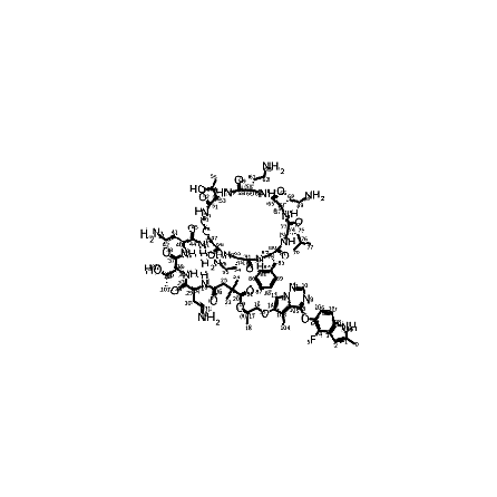 Cc1cc2c(F)c(Oc3ncnn4cc(OC[C@@H](C)OC(=O)C(C)(C)CC(=O)N[C@@H](CCN)C(=O)N[C@H](C(=O)N[C@@H](CCN)C(=O)N[C@@H]5CCNC(=O)[C@@H]([C@H](C)O)NC(=O)[C@H](CCN)NC(=O)[C@H](CCN)NC(=O)[C@H](CC(C)C)NC(=O)[C@H](Cc6ccccc6)NC(=O)[C@H](CCN)NC5=O)[C@H](C)O)c(C)c34)ccc2[nH]1